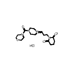 Cl.O=C(N1CCOCC1)N1CCN(CCCN2C(=O)CCCC2=O)CC1